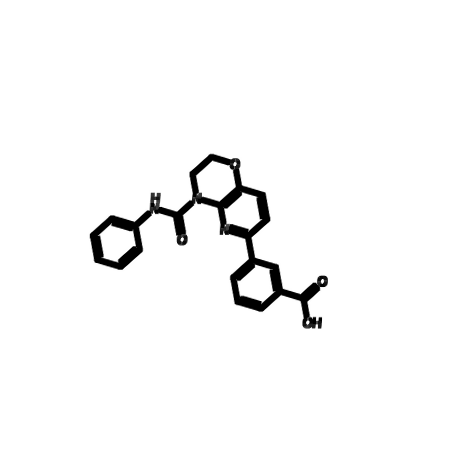 O=C(O)c1cccc(-c2ccc3c(n2)N(C(=O)Nc2ccccc2)CCO3)c1